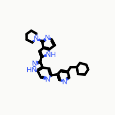 c1cc2[nH]c(-c3n[nH]c4cnc(-c5cncc(CC6CCCCC6)c5)cc34)cc2c(N2CCCCC2)n1